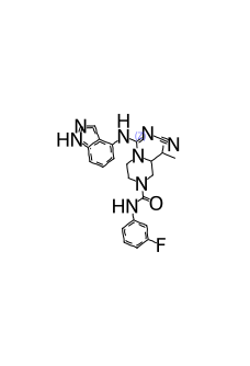 CC(C)C1CN(C(=O)Nc2cccc(F)c2)CCN1/C(=N\C#N)Nc1cccc2[nH]ncc12